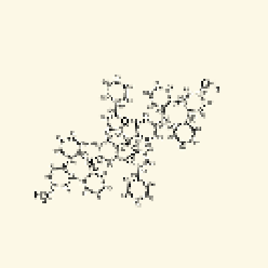 Cc1ccc2c(c1)-c1ccccc1N(c1ccc([Si](c3ccc(N4c5ccccc5-c5ccc(C)cc5-c5ccccc54)cc3)(c3ccc(-c4ccccc4)o3)c3ccc(-c4ccccc4)o3)cc1)c1ccccc1-2